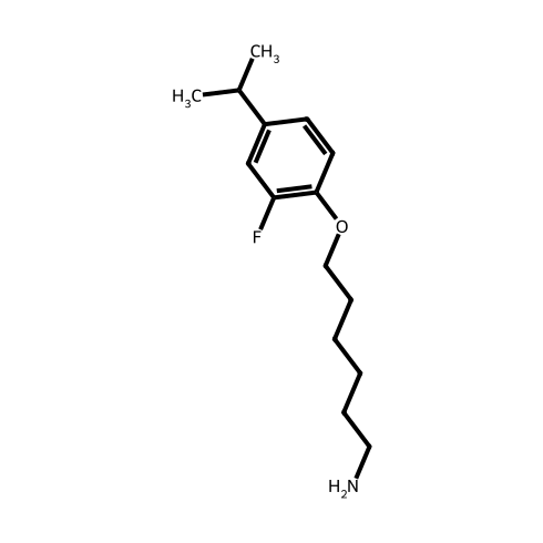 CC(C)c1ccc(OCCCCCCN)c(F)c1